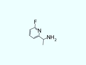 CC(N)c1cccc(F)n1